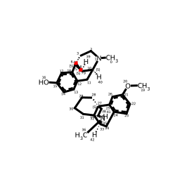 CN1CC[C@@]23CCCC[C@@H]2[C@@H]1Cc1ccc(O)cc13.COc1ccc2c(c1)[C@]13CCCC[C@@H]1[C@H](C2)N(C)CC3